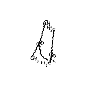 CCCCCCCCCCCCCCCC(=O)OC(CCCCCCCC)CCCCCCCCCCC.CCCCCCCCCCCCCCCCOC(=O)CCCCCCC